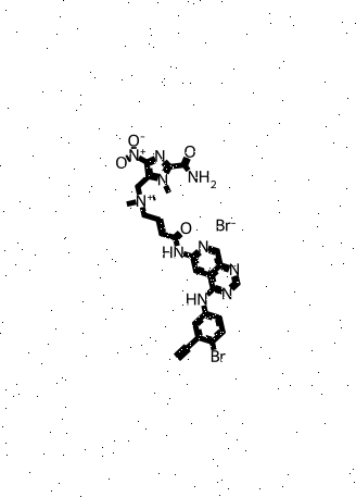 C#Cc1cc(Nc2ncnc3cnc(NC(=O)/C=C/C[N+](C)(C)Cc4c([N+](=O)[O-])nc(C(N)=O)n4C)cc23)ccc1Br.[Br-]